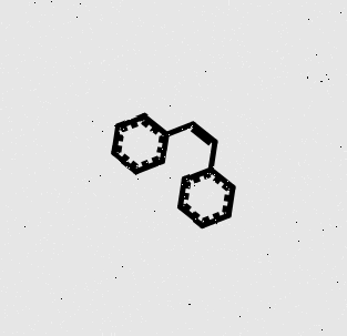 [c]1cccc(/C=C\c2ccccc2)c1